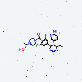 CCc1ncnc(-c2cc(F)c(C(=O)N3CCN(C(C)CO)CC3)c(Cl)c2)c1-c1ccc(N)nc1